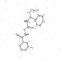 Cc1cccc(C(=O)NCC(=O)NC(CC(=O)O)c2ccccc2)c1